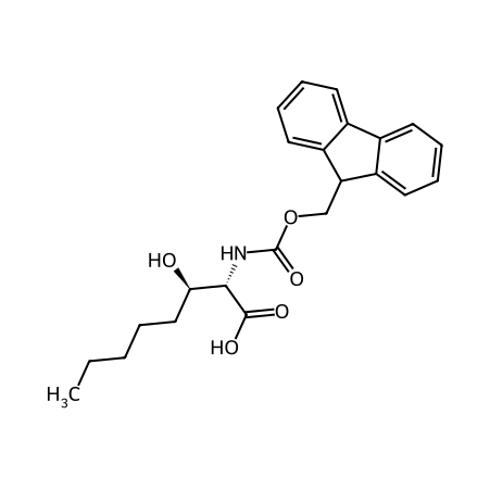 CCCCC[C@@H](O)[C@H](NC(=O)OCC1c2ccccc2-c2ccccc21)C(=O)O